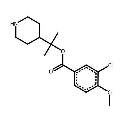 COc1ccc(C(=O)OC(C)(C)C2CCNCC2)cc1Cl